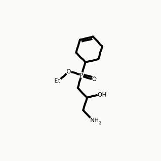 CCOP(=O)(CC(O)CN)C1CC=CCC1